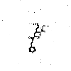 CCOC(=O)CCC(CC(S)C(=O)OCc1ccccc1)NC(=O)OC(C)(C)C